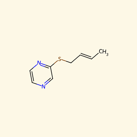 CC=CCSc1cnccn1